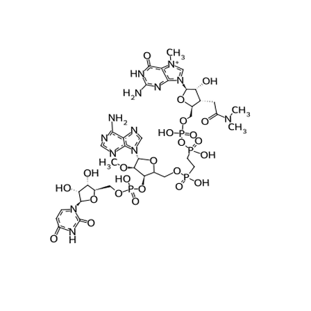 CO[C@@H]1[C@H](OP(=O)(O)OC[C@H]2O[C@@H](n3ccc(=O)[nH]c3=O)[C@H](O)[C@@H]2O)C(COP(=O)(O)CCP(=O)(O)OP(=O)(O)OC[C@H]2O[C@@H](n3c[n+](C)c4c(=O)[nH]c(N)nc43)[C@H](O)[C@@H]2CC(=O)N(C)C)O[C@H]1n1cnc2c(N)ncnc21